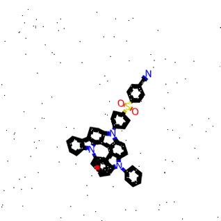 N#Cc1ccc(S(=O)(=O)c2ccc(-n3c4ccc5c(c6ccccc6n5-c5ccccc5)c4c4c3ccc3c5ccccc5n(-c5ccccc5)c34)cc2)cc1